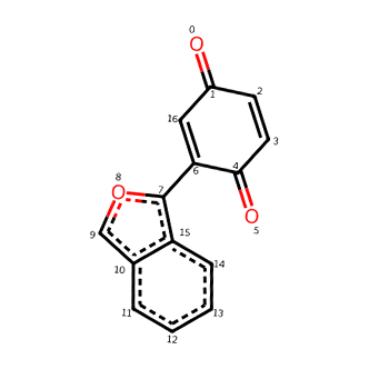 O=C1C=CC(=O)C(c2occ3ccccc23)=C1